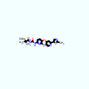 COC(C)(C)C(=O)NC(=O)Nc1ccc(Oc2ccnc(-c3cnc(C)s3)c2)c(C)n1